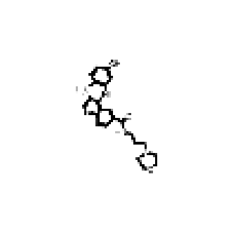 Cc1ccc(O)cc1Nc1ccnc2ccc(C(=O)NCCCN3CCOCC3)cc12